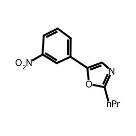 CCCc1ncc(-c2cccc([N+](=O)[O-])c2)o1